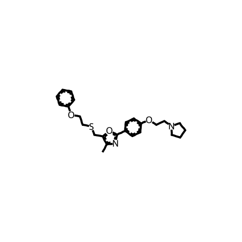 Cc1nc(-c2ccc(OCCN3CCCC3)cc2)oc1CSCCOc1ccccc1